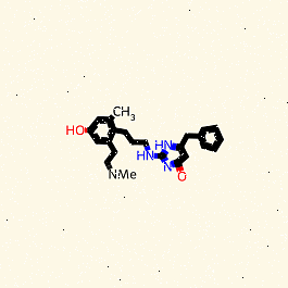 CNCCc1cc(O)cc(C)c1CCCNc1nc(=O)cc(Cc2ccccc2)[nH]1